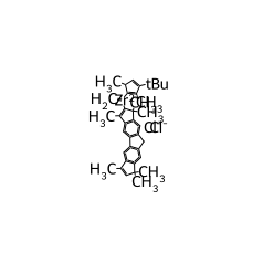 [CH2]=[Zr+2]([C]1=C(C)C(C(C)(C)C)=CC1C)[C]1=C(C)c2cc3c(cc2C1(C)C)Cc1cc2c(cc1-3)C(C)=CC2(C)C.[Cl-].[Cl-]